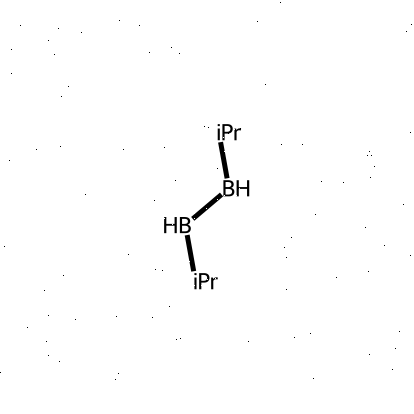 CC(C)BBC(C)C